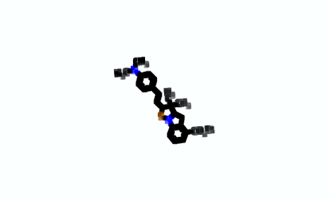 CCOC(=O)c1cccc2c1CC1N2SC(C=Cc2ccc(N(C)C)cc2)C1(C)C